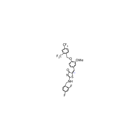 COc1cc(/C=C2/SC(NCc3ccc(F)cc3F)=NC2=O)ccc1OCc1ccc(C(F)(F)F)cc1C(F)(F)F